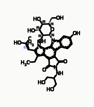 CCc1c(/C=C(\C)O)[nH]c2c1c1c(c3c4ccc(O)cc4n([C@H]4O[C@@H](CO)[C@H](O)[C@@H](O)[C@@H]4O)c23)C(=O)N(NC(CO)CO)C1=O